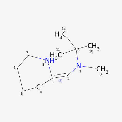 CN(/C=C1/CCCCN1)C(C)(C)C